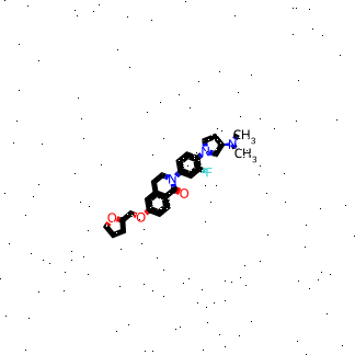 CN(C)[C@@H]1CCN(c2ccc(N3CCc4cc(OCC5CCCO5)ccc4C3=O)cc2F)C1